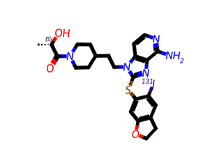 C[C@H](O)C(=O)N1CCC(CCn2c(Sc3cc4c(cc3[131I])CCO4)nc3c(N)nccc32)CC1